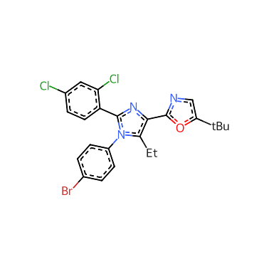 CCc1c(-c2ncc(C(C)(C)C)o2)nc(-c2ccc(Cl)cc2Cl)n1-c1ccc(Br)cc1